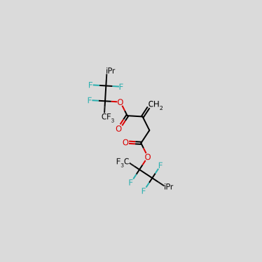 C=C(CC(=O)OC(F)(C(F)(F)F)C(F)(F)C(C)C)C(=O)OC(F)(C(F)(F)F)C(F)(F)C(C)C